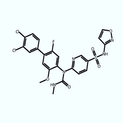 CNC(=O)N(c1ccc(S(=O)(=O)Nc2ccon2)cn1)c1cc(F)c(-c2ccc(Cl)c(Cl)c2)cc1OC